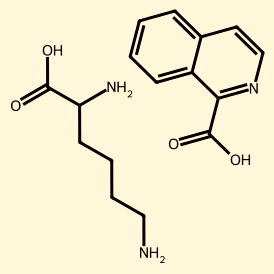 NCCCCC(N)C(=O)O.O=C(O)c1nccc2ccccc12